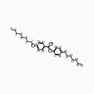 CCCCCCCCOc1ccc(C(=O)Oc2ccc(CCCCCCC)cc2)cc1